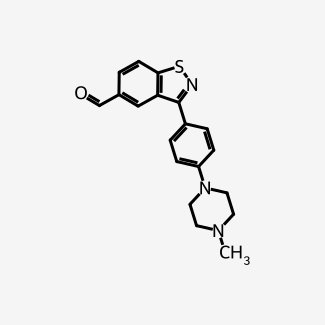 CN1CCN(c2ccc(-c3nsc4ccc(C=O)cc34)cc2)CC1